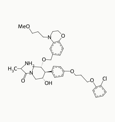 COCCCN1CCOc2ccc(CO[C@H]3CN(C(=O)C(C)N)C[C@@H](O)[C@@H]3c3ccc(OCCCOc4ccccc4Cl)cc3)cc21